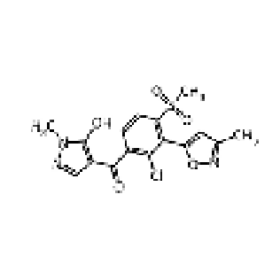 Cc1cc(-c2c(S(C)(=O)=O)ccc(C(=O)c3cnn(C)c3O)c2Cl)on1